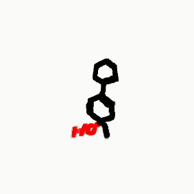 CC1(O)C=CC(C2=CCCCC2)=CC1